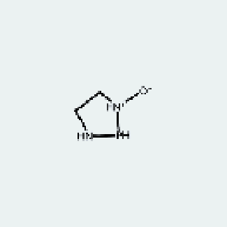 [O-][NH+]1CCNP1